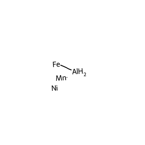 [AlH2][Fe].[Mn].[Ni]